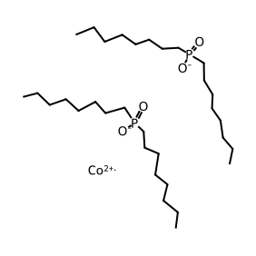 CCCCCCCCP(=O)([O-])CCCCCCCC.CCCCCCCCP(=O)([O-])CCCCCCCC.[Co+2]